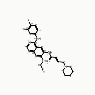 O=C(C=CCN1CCCCC1)Nc1cc2c(Nc3ccc(F)c(Cl)c3)ncnc2cc1OCF